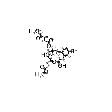 COC(=O)CCC(=O)OCC(CO)(COC(=O)CCC(=O)OC)COc1ccc(Br)cc1CCCO